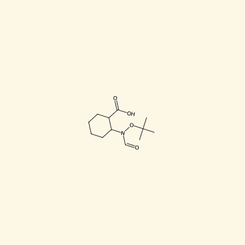 CC(C)(C)ON(C=O)[C]1CCCCC1C(=O)O